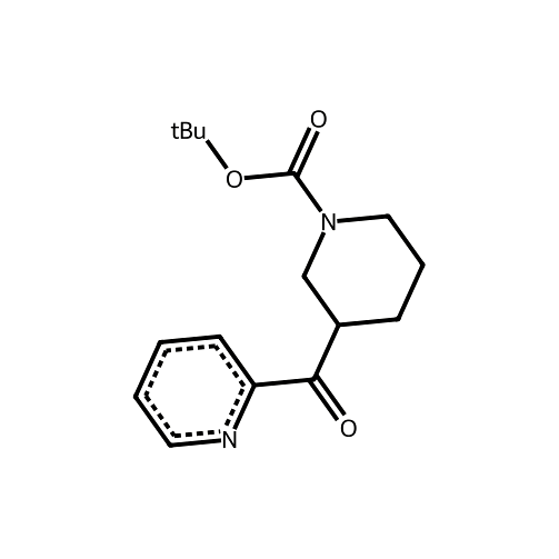 CC(C)(C)OC(=O)N1CCCC(C(=O)c2ccccn2)C1